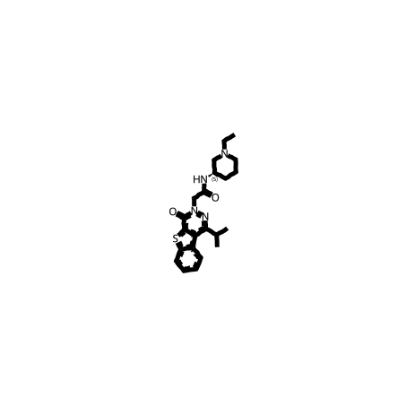 CCN1CCC[C@H](NC(=O)Cn2nc(C(C)C)c3c(sc4ccccc43)c2=O)C1